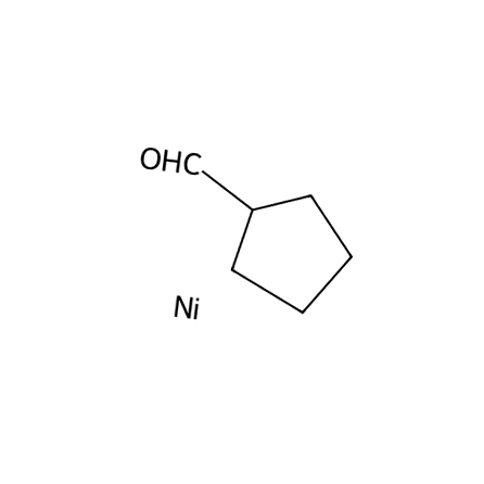 O=CC1CCCC1.[Ni]